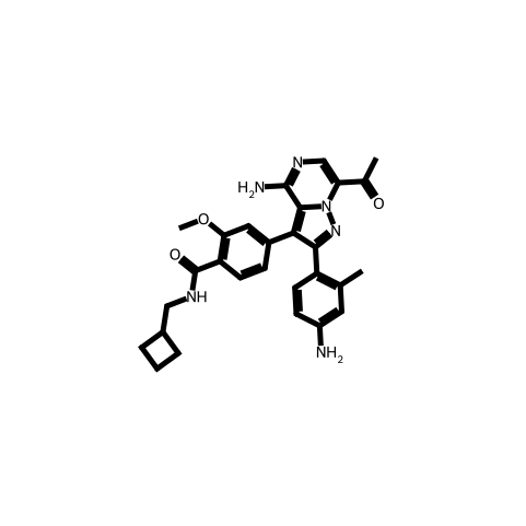 COc1cc(-c2c(-c3ccc(N)cc3C)nn3c(C(C)=O)cnc(N)c23)ccc1C(=O)NCC1CCC1